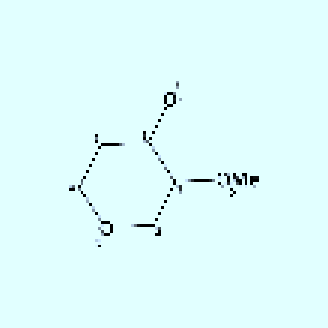 COC1COCCC1[O]